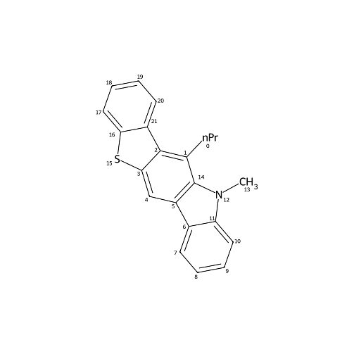 CCCc1c2c(cc3c4ccccc4n(C)c13)sc1ccccc12